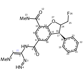 CN/C=C(\N=N)NC(=O)c1cc(C(=O)NC)c2c(c1)[C@H](c1ccccc1)C(CF)O2